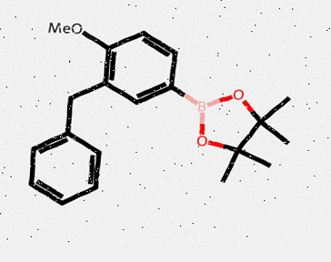 COc1ccc(B2OC(C)(C)C(C)(C)O2)cc1Cc1ccccc1